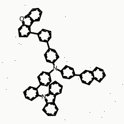 c1cc(-c2ccc(N(c3ccc(-c4ccc5ccccc5c4)cc3)c3ccc(-c4ccccc4-n4c5ccccc5c5ccccc54)cc3)cc2)cc(-c2cccc3oc4ccccc4c23)c1